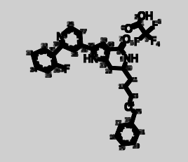 O=C(O)C(F)(F)F.O=C1NC(CCCOCc2ccccc2)Cc2[nH]c(-c3ccnc(-c4ccccc4F)c3)cc21